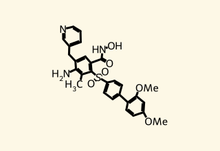 COc1ccc(-c2ccc(S(=O)(=O)c3c(C(=O)NO)cc(Cc4cccnc4)c(N)c3C)cc2)c(OC)c1